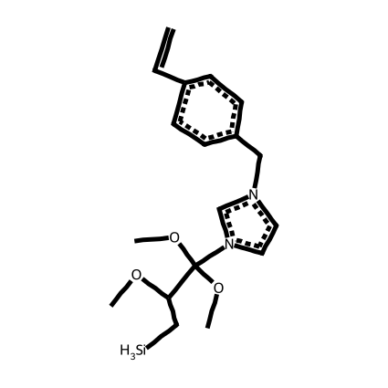 C=Cc1ccc(Cn2cc[n+](C(OC)(OC)C(C[SiH3])OC)c2)cc1